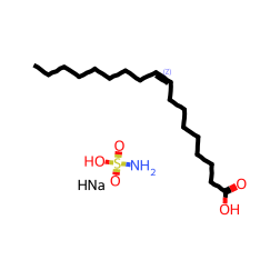 CCCCCCCC/C=C\CCCCCCCC(=O)O.NS(=O)(=O)O.[NaH]